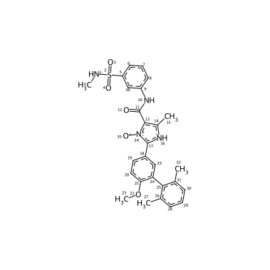 CNS(=O)(=O)c1cccc(NC(=O)c2c(C)[nH]c(-c3ccc(OC)c(-c4c(C)cccc4C)c3)[n+]2[O-])c1